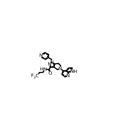 O=C(NCCC(F)(F)F)c1nn(Cc2ccncc2)c2c1CN(c1ccnc3[nH]ccc13)CC2